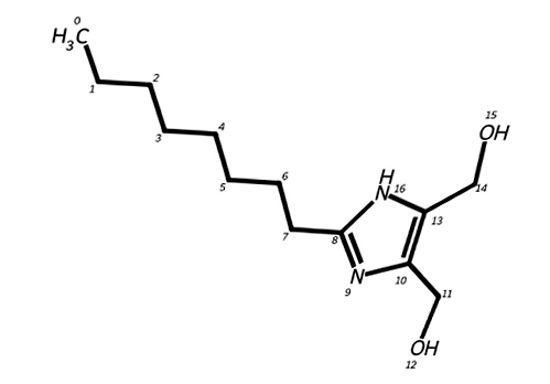 CCCCCCCCc1nc(CO)c(CO)[nH]1